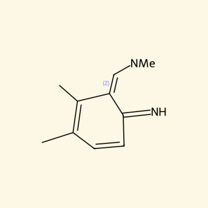 CN/C=C1\C(=N)C=CC(C)=C1C